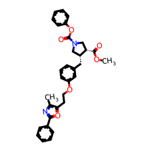 COC(=O)[C@H]1CN(C(=O)Oc2ccccc2)C[C@H]1Cc1cccc(OCCc2oc(-c3ccccc3)nc2C)c1